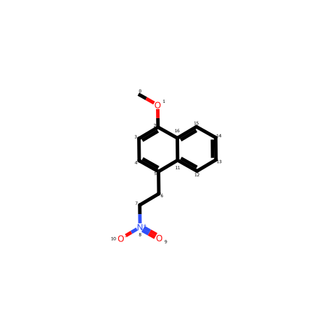 COc1ccc(CC[N+](=O)[O-])c2ccccc12